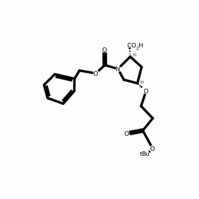 CC(C)(C)OC(=O)CCO[C@H]1C[C@@H](C(=O)O)N(C(=O)OCc2ccccc2)C1